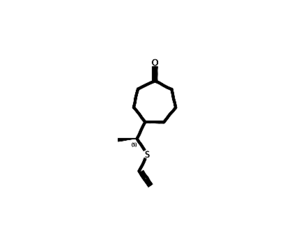 C=CS[C@@H](C)C1CCCC(=O)CC1